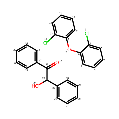 Clc1ccccc1Oc1ccccc1Cl.O=C(c1ccccc1)C(O)c1ccccc1